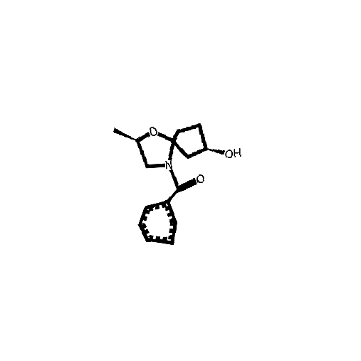 C[C@@H]1CN(C(=O)c2ccccc2)C2(CC[C@@H](O)C2)O1